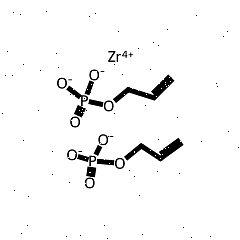 C=CCOP(=O)([O-])[O-].C=CCOP(=O)([O-])[O-].[Zr+4]